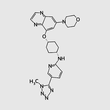 Cn1nnnc1-c1ccc(N[C@H]2CC[C@@H](Oc3cc(N4CCOCC4)cc4nccnc34)CC2)nc1